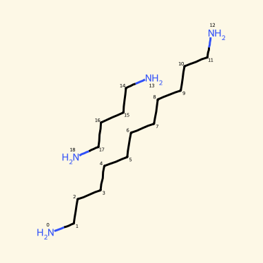 NCCCCCCCCCCCN.NCCCCN